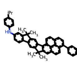 CC(C)c1ccc(Nc2ccc3c(c2)C(C)(C)c2cc4c(cc2-3)C(C)(C)c2cc3ccc5c(-c6ccccc6)ccc6ccc(c2-4)c3c65)cc1